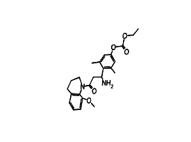 CCOC(=O)Oc1cc(C)c(C(N)CC(=O)N2CCCc3cccc(OC)c32)c(C)c1